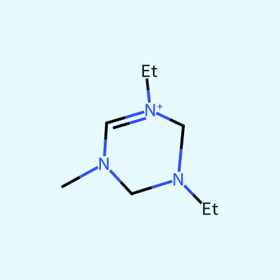 CCN1CN(C)C=[N+](CC)C1